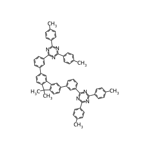 Cc1ccc(-c2nc(-c3ccc(C)cc3)nc(-c3cccc(-c4ccc5c(c4)-c4cc(-c6cccc(-c7nc(-c8ccc(C)cc8)nc(-c8ccc(C)cc8)n7)c6)ccc4C5(C)C)c3)n2)cc1